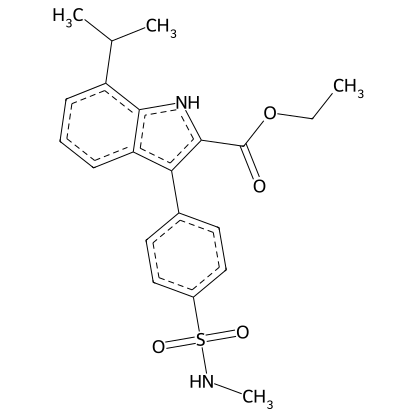 CCOC(=O)c1[nH]c2c(C(C)C)cccc2c1-c1ccc(S(=O)(=O)NC)cc1